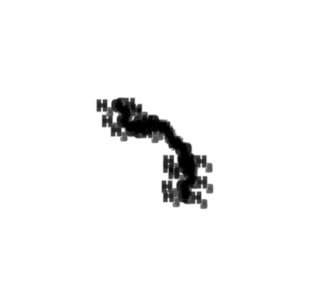 Cc1c(C)c2c(c(C)c1OC(=O)CCC(=O)OCC1CCN(CCSSCCN3CCC(COC(=O)CCC(=O)Oc4c(C)c(C)c5c(c4C)CCC(C)(CCCC(C)CCCC(C)CCCC(C)C)O5)CC3)CC1)CCC(C)(CCCC(C)CCCC(C)CCCC(C)C)O2